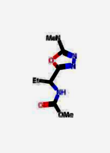 CCC(NC(=O)OC)c1nnc(NC)o1